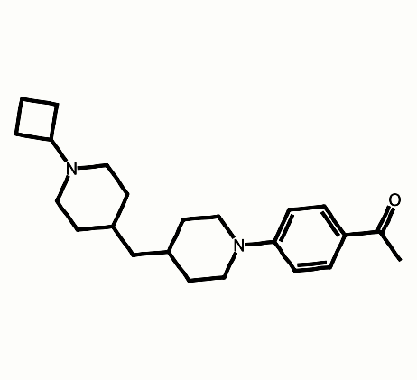 CC(=O)c1ccc(N2CCC(CC3CCN(C4CCC4)CC3)CC2)cc1